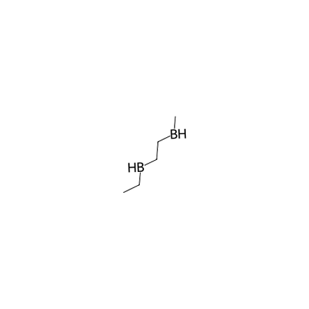 CBCCBCC